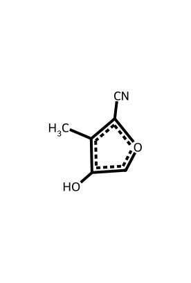 Cc1c(O)coc1C#N